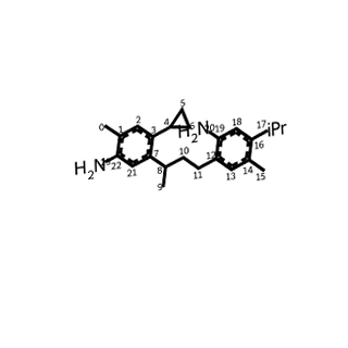 Cc1cc(C2CC2)c(C(C)CCc2cc(C)c(C(C)C)cc2N)cc1N